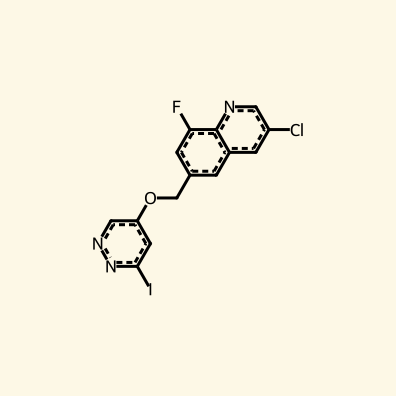 Fc1cc(COc2cnnc(I)c2)cc2cc(Cl)cnc12